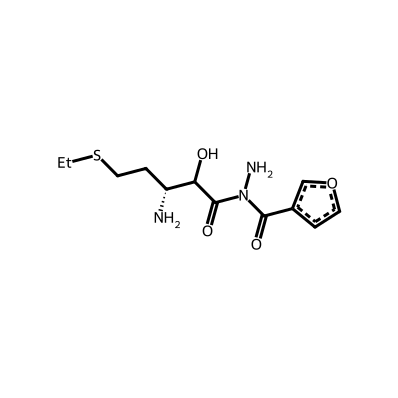 CCSCC[C@@H](N)C(O)C(=O)N(N)C(=O)c1ccoc1